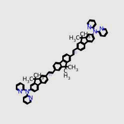 CC1(C)c2cc(/C=C/c3ccc4c(c3)C(C)(C)c3cc(N(c5ccccn5)c5ccccn5)ccc3-4)ccc2-c2ccc(/C=C/c3ccc4c(c3)C(C)(C)c3cc(N(c5ccccn5)c5ccccn5)ccc3-4)cc21